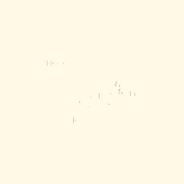 Cc1cc(C)cc([P+](CCCCCCC(=O)O)(c2cc(C)cc(C)c2)c2cnn(C(C)C)c2)c1.[Br-]